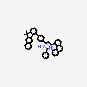 CC1(C)c2cc3ccccc3cc2-c2c(-c3ccc(/C=C/C(NC(N)c4ccccc4)c4cccc5ccc6ccccc6c45)cc3)cccc21